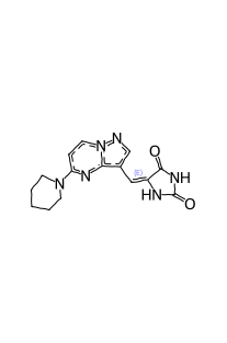 O=C1NC(=O)/C(=C\c2cnn3ccc(N4CCCCC4)nc23)N1